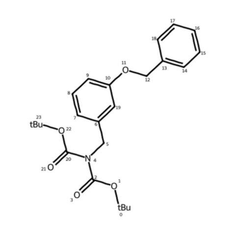 CC(C)(C)OC(=O)N(Cc1cccc(OCc2ccccc2)c1)C(=O)OC(C)(C)C